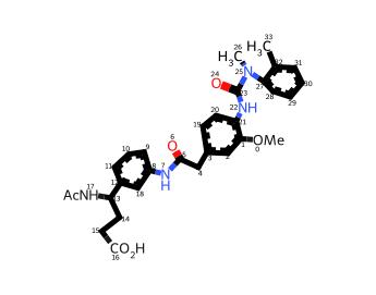 COc1cc(CC(=O)Nc2cccc(C(CCC(=O)O)NC(C)=O)c2)ccc1NC(=O)N(C)c1ccccc1C